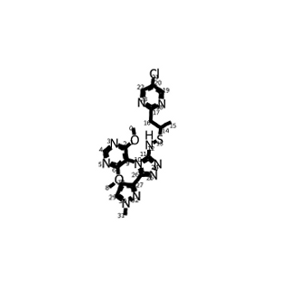 COc1ncnc(OC)c1-n1c(NSC(C)Cc2ncc(Cl)cn2)nnc1-c1ccn(C)n1